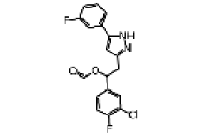 O=COC(Cc1cc(-c2cccc(F)c2)[nH]n1)c1ccc(F)c(Cl)c1